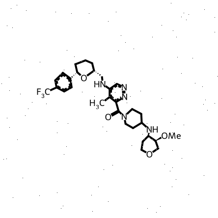 CO[C@H]1COCC[C@H]1NC1CCN(C(=O)c2nncc(NC[C@H]3CCC[C@@H](c4ccc(C(F)(F)F)cc4)O3)c2C)CC1